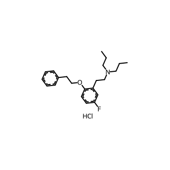 CCCN(CCC)CCc1cc(F)ccc1OCCc1ccccc1.Cl